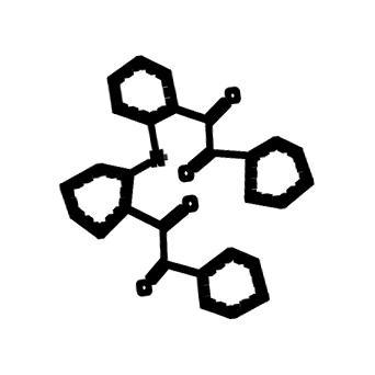 O=C(C(=O)c1ccccc1[N]c1ccccc1C(=O)C(=O)c1ccccc1)c1ccccc1